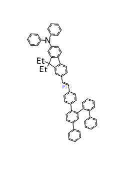 CCC1(CC)c2cc(/C=C/c3ccc(-c4ccc(-c5ccccc5)cc4-c4ccccc4-c4ccccc4)cc3)ccc2-c2ccc(N(c3ccccc3)c3ccccc3)cc21